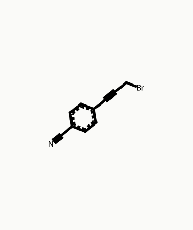 N#Cc1ccc(C#CCBr)cc1